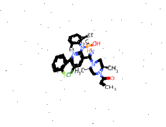 C=CC(=O)N1C[C@H](C)N(C2=N[PH](C)(O)N(c3c(CC)cccc3CC)c3nc(-c4ccccc4F)c(Cl)cc32)C[C@H]1C